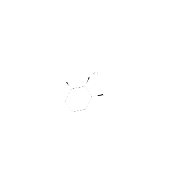 CC[C@H]1CCC[C@@H](C)[C@H]1O